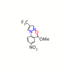 COC(=O)c1cc([N+](=O)[O-])ccc1-n1cc(C(F)(F)F)cn1